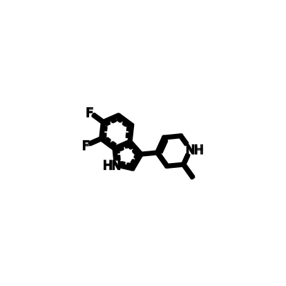 CC1CC(c2c[nH]c3c(F)c(F)ccc23)=CCN1